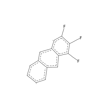 Fc1[c]c2cc3cc[c]cc3cc2c(F)c1F